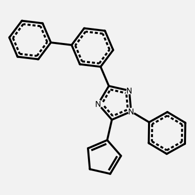 C1=CC(c2nc(-c3cccc(-c4ccccc4)c3)nn2-c2ccccc2)=CC1